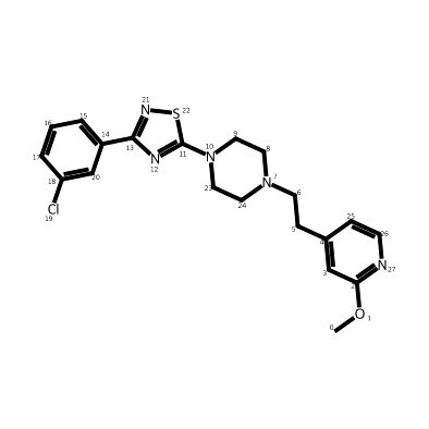 COc1cc(CCN2CCN(c3nc(-c4cccc(Cl)c4)ns3)CC2)ccn1